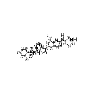 CCc1cc(-c2ccc3c(NS(=O)(=O)c4ccccc4C)ncnn23)cc2cnc(N[C@H]3CCCNC3)nc12